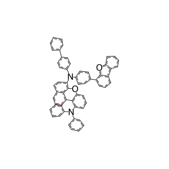 c1ccc(-c2ccc(N(c3ccc(-c4cccc5c4oc4ccccc45)cc3)c3ccc4cccc5c4c3Oc3cccc(N(c4ccccc4)c4ccccc4)c3-5)cc2)cc1